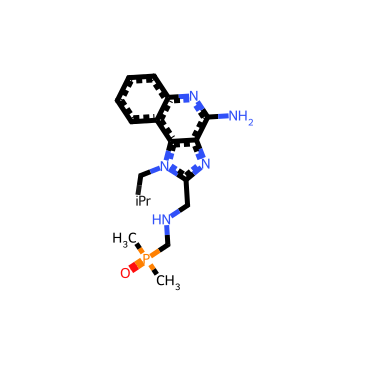 CC(C)Cn1c(CNCP(C)(C)=O)nc2c(N)nc3ccccc3c21